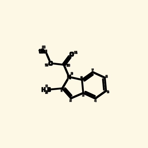 Bc1cc2ccccc2n1C(=O)OC(C)(C)C